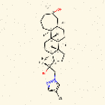 C[C@@]1(O)CCC[C@H]2[C@H](CC[C@@H]3[C@@H]2CC[C@@]2(C)[C@H]3CC[C@@H]2[C@@](C)(O)Cn2cc(C#N)cn2)C1